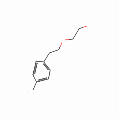 [CH2]c1ccc(CCOCCO)cc1